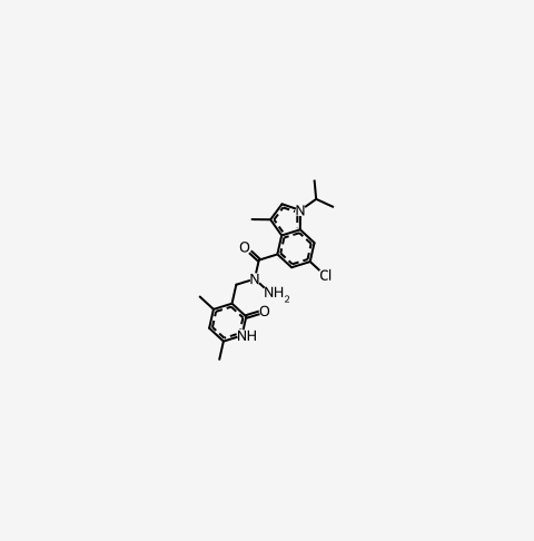 Cc1cc(C)c(CN(N)C(=O)c2cc(Cl)cc3c2c(C)cn3C(C)C)c(=O)[nH]1